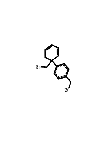 BrCc1ccc(C2(CBr)C=CC=CC2)cc1